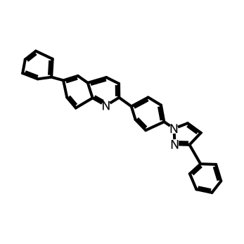 c1ccc(-c2ccc3nc(-c4ccc(-n5ccc(-c6ccccc6)n5)cc4)ccc3c2)cc1